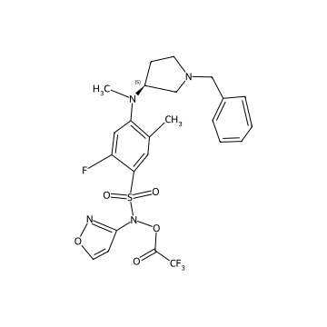 Cc1cc(S(=O)(=O)N(OC(=O)C(F)(F)F)c2ccon2)c(F)cc1N(C)[C@H]1CCN(Cc2ccccc2)C1